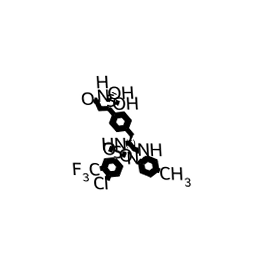 Cc1ccc2nc([C@H](Cc3ccc(C4CC(=O)NS4(O)O)cc3)NS(=O)(=O)c3ccc(Cl)c(C(F)(F)F)c3)[nH]c2c1